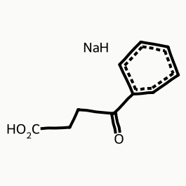 O=C(O)CCC(=O)c1ccccc1.[NaH]